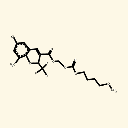 Cc1cc(Cl)cc2c1OC(C(F)(F)F)C(C(=O)OCOC(=O)OCCCCON)=C2